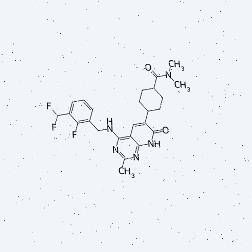 Cc1nc(NCc2cccc(C(F)F)c2F)c2cc(C3CCC(C(=O)N(C)C)CC3)c(=O)[nH]c2n1